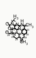 CCN1C(=O)OCc2cnc(N[C@@H](C)c3ccc(CN(C)C4CCN(BC=O)CC4)cc3)nc21